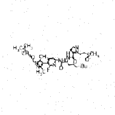 CC[C@@H](C)CCC[C@H](NC(=O)c1ccnn1CC[S+](C)[O-])C(=O)Nc1ccc(-c2c(C)nn(COCCS(C)(C)C)c2C)c(F)n1